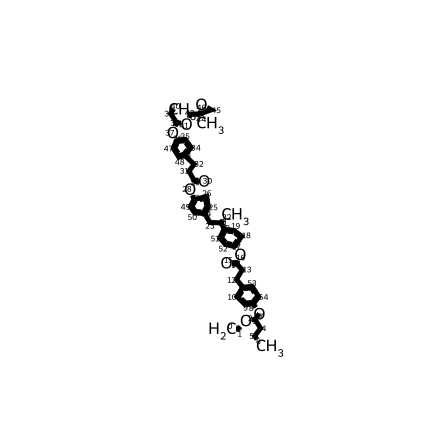 C=COC(CCC)Oc1ccc(CCC(=O)Oc2ccc(C(C)Cc3ccc(OC(=O)CCc4ccc(OC(CC)OCC5(C)CO5)cc4)cc3)cc2)cc1